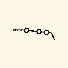 CC#CCC1CCC(c2ccc(C#Cc3ccc(CCCCC)cc3)cc2)CC1